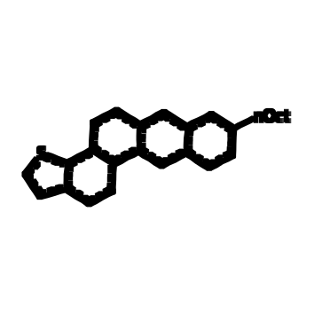 CCCCCCCCc1ccc2cc3c(ccc4c3ccc3ccsc34)cc2c1